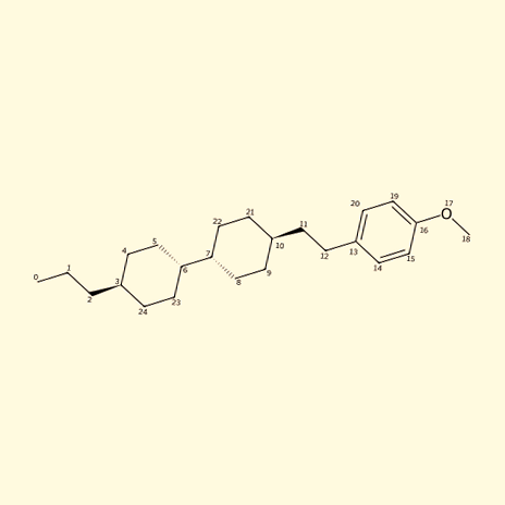 CCC[C@H]1CC[C@H]([C@H]2CC[C@H](CCc3ccc(OC)cc3)CC2)CC1